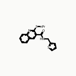 CCCSc1nc2ccccc2cc1C(=O)NCc1cccs1